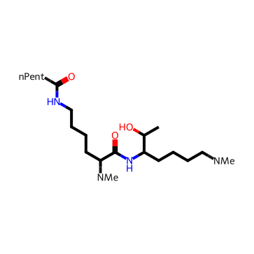 CCCCCC(=O)NCCCCC(NC)C(=O)NC(CCCCNC)C(C)O